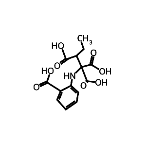 CCC(C(=O)O)C(Nc1ccccc1C(=O)O)(C(=O)O)C(=O)O